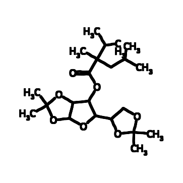 CC(C)CC(C)(C(=O)OC1C(C2COC(C)(C)O2)OC2OC(C)(C)OC21)C(C)C